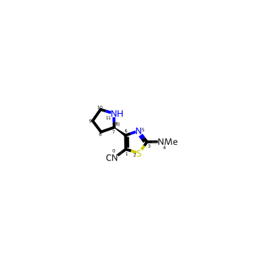 [C-]#[N+]c1sc(NC)nc1[C@H]1CCCN1